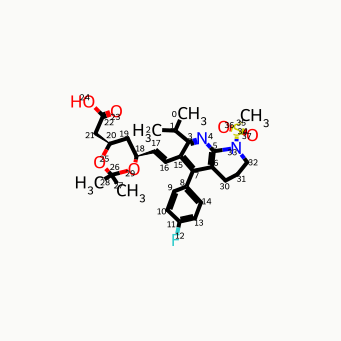 CC(C)c1nc2c(c(-c3ccc(F)cc3)c1C=C[C@@H]1C[C@H](CC(=O)O)OC(C)(C)O1)CCCN2S(C)(=O)=O